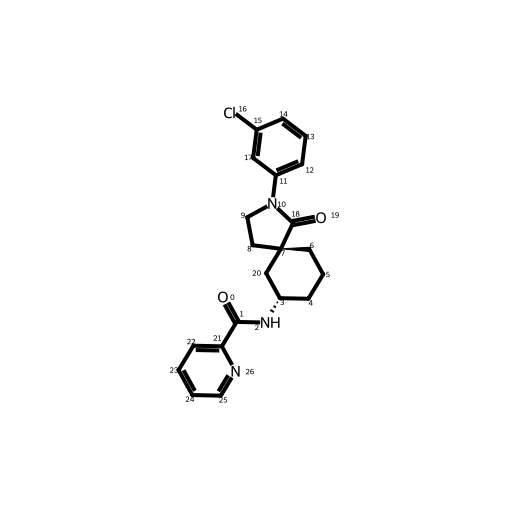 O=C(N[C@H]1CCC[C@]2(CCN(c3cccc(Cl)c3)C2=O)C1)c1ccccn1